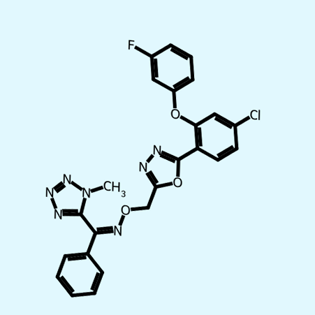 Cn1nnnc1/C(=N\OCc1nnc(-c2ccc(Cl)cc2Oc2cccc(F)c2)o1)c1ccccc1